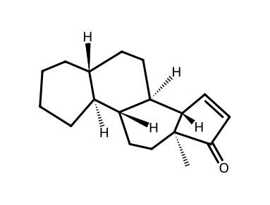 C[C@]12CC[C@H]3[C@@H](CC[C@H]4CCCC[C@@H]43)[C@@H]1C=CC2=O